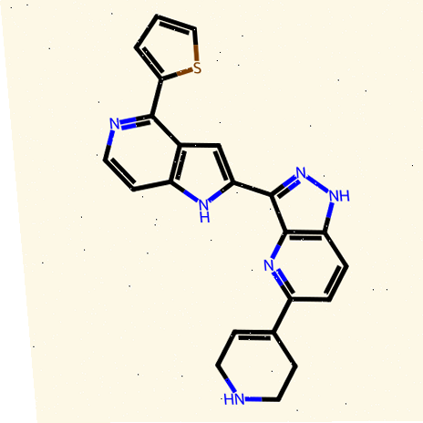 C1=C(c2ccc3[nH]nc(-c4cc5c(-c6cccs6)nccc5[nH]4)c3n2)CCNC1